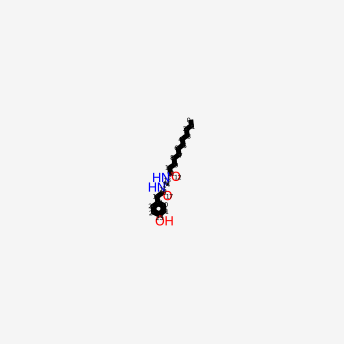 CCCCCCCCCCCC(=O)NCNC(=O)Cc1ccc(O)cc1